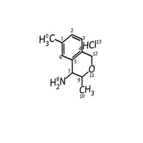 Cc1ccc2c(c1)C(N)C(C)OC2.Cl